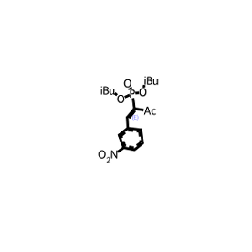 CCC(C)OP(=O)(OC(C)CC)/C(=C/c1cccc([N+](=O)[O-])c1)C(C)=O